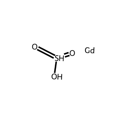 O=[SH](=O)O.[Gd]